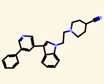 N#CC1CCN(CCn2cc(-c3cncc(-c4ccccc4)c3)c3ccccc32)CC1